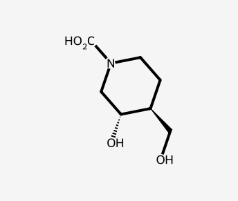 O=C(O)N1CC[C@@H](CO)[C@H](O)C1